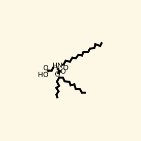 CCCCCCCCCCCCCC(=O)N[C@@H](CCC(=O)O)C(=O)OC(CCCCCC)CCCCCCCCC